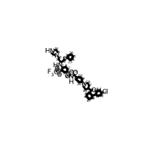 O=C(NS(=O)(=O)c1ccc(NC(CCN2CCNCC2)CSc2ccccc2)c(S(=O)(=O)C(F)(F)F)c1)c1ccc(N2CCC([C@@H](O)c3ccccc3-c3ccc(Cl)cc3)CC2)cc1